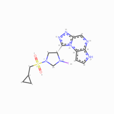 O=S(=O)(CC1CC1)N1C[C@H](c2nnc3cnc4[nH]ccc4n23)N(I)C1